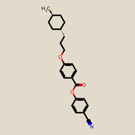 C[C@H]1CC[C@H](CCCOc2ccc(C(=O)Oc3ccc(C#N)cc3)cc2)CC1